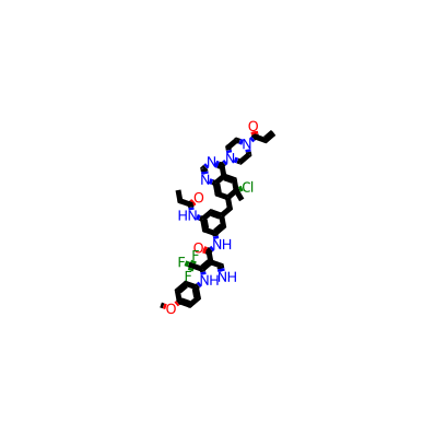 C=CC(=O)N1CCN(c2ncnc3c2=CC(C)(Cl)C(Cc2cc(NC(=O)CC)cc(NC(=O)/C(C=N)=C(/Nc4ccc(OC)cc4)C(F)(F)F)c2)C=3)CC1